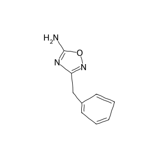 Nc1nc(Cc2ccccc2)no1